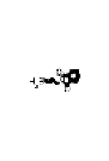 BC/C=C/CN1C(=O)c2ccccc2C1=O